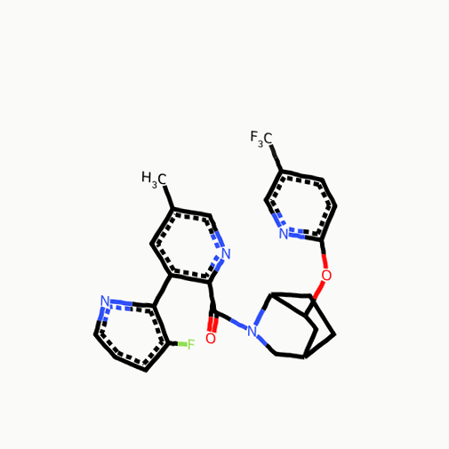 Cc1cnc(C(=O)N2CC3CCC2C(Oc2ccc(C(F)(F)F)cn2)C3)c(-c2ncccc2F)c1